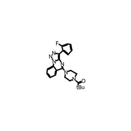 CC(C)(C)C(=O)N1CCN(c2nc3c(-c4ccccc4F)nnn3c3ccccc23)CC1